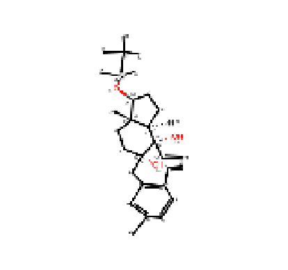 C=Cc1ccc(C)cc1C[C@@]1(O)CC[C@]2(C)[C@@H](O[Si](C)(C)C(C)(C)C)CC[C@H]2[C@@]1(O)C=C